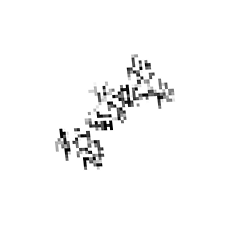 CC(C)[C@]1(C(=O)NCc2cc(C(F)(F)F)cc(C(F)(F)F)c2)CC[C@@H](NCc2cc(C(F)(F)F)cc(C(F)(F)F)c2)C1